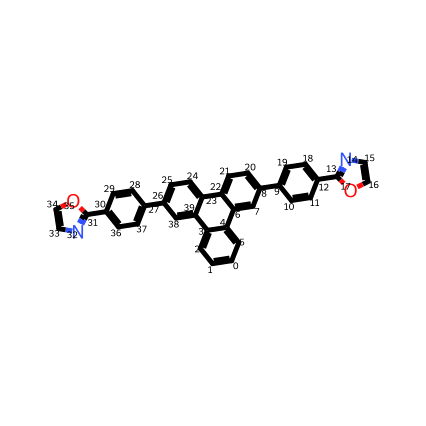 c1ccc2c(c1)c1cc(-c3ccc(-c4ncco4)cc3)ccc1c1ccc(-c3ccc(-c4ncco4)cc3)cc21